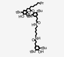 CC(C)CCCCCC(Cc1cc(C(C)(C)C)c(O)c(C(C)(C)C)c1)C(=O)Oc1c(C(C)(C)C)cc(CCC(=O)NCCCCCCNC(=O)CCc2cc(C(C)(C)C)c(O)c(C(C)(C)C)c2)cc1C(C)(C)C